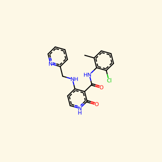 Cc1cccc(Cl)c1NC(=O)c1c(NCc2ccccn2)cc[nH]c1=O